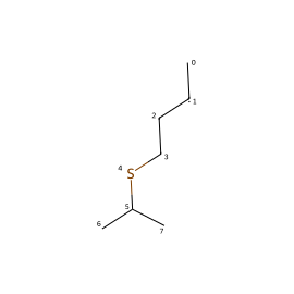 C[CH]CCSC(C)C